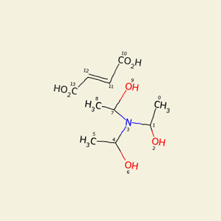 CC(O)N(C(C)O)C(C)O.O=C(O)/C=C/C(=O)O